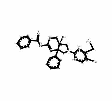 O=C(NC1=NC2(c3ccccc3)CN(c3ncc(F)c(CO)n3)C[C@H]2CS1)c1ccccc1